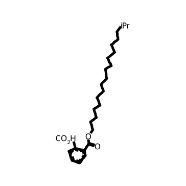 CC(C)CCCCCCCCCCCCCCCCOC(=O)c1ccccc1C(=O)O